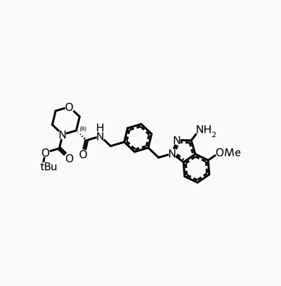 COc1cccc2c1c(N)nn2Cc1cccc(CNC(=O)[C@H]2COCCN2C(=O)OC(C)(C)C)c1